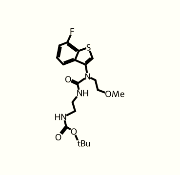 COCCN(C(=O)NCCNC(=O)OC(C)(C)C)c1csc2c(F)cccc12